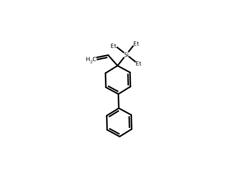 C=CC1([Si](CC)(CC)CC)C=CC(c2ccccc2)=CC1